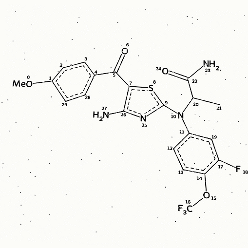 COc1ccc(C(=O)c2sc(N(c3ccc(OC(F)(F)F)c(F)c3)C(C)C(N)=O)nc2N)cc1